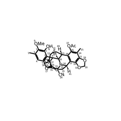 COc1c(C)cc2c(c1O)C1[C@@H]3[C@@H]4SCC(=O)C(=O)OC[C@@H](c5c6c(c(C)c(OC(C)=O)c54)OCO6)N3[C@@H](C#N)C(C2)N1C